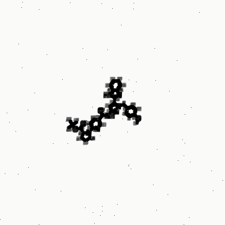 COc1ccc(Cn2nc(NC(=O)c3ccc(N4CCC[C@H]4C(=O)OC(C)(C)C)nc3)cc2-c2nc3ccccc3[nH]2)cc1